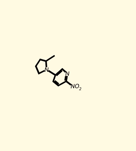 CC1CCCN1c1ccc([N+](=O)[O-])nc1